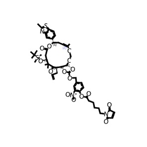 C=CC[C@H]1C(=O)C(C)(C)[C@@H](O[Si](C)(C)C(C)(C)C)CC(=O)O[C@H](c2ccc3sc(C)nc3c2)C/C=C(/C)CCC[C@H](C)[C@@H]1OC(=O)OCc1ccc(OC(=O)CCCCCN2C(=O)C=CC2=O)c([N+](=O)[O-])c1